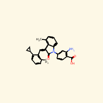 Cc1cccc(C2CC2)c1/C=C1\C(=O)N(c2ccc(C(=O)O)c(N)c2)c2cccc(C)c21